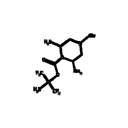 BC1CN(C(C)(C)C)CC(B)N1C(=O)OC(B)(C(F)(F)F)C(F)(F)F